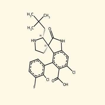 CC(C)(C)C[C@H]1NCC[C@@]12C(=O)Nc1cc(Cl)c(C(=O)O)c(-c3cccc(F)c3Cl)c12